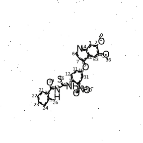 COc1cc2nccc(Oc3ccc(NC(=S)NC(=O)c4ccccc4C)c([N+](=O)[O-])c3)c2cc1OC